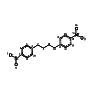 O=[N+]([O-])c1ccc(CCCCc2ccc([N+](=O)[O-])cc2)cc1